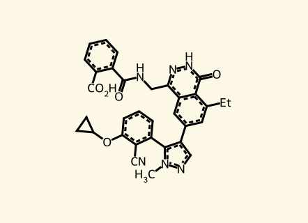 CCc1cc(-c2cnn(C)c2-c2cccc(OC3CC3)c2C#N)cc2c(CNC(=O)c3ccccc3C(=O)O)n[nH]c(=O)c12